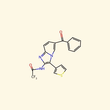 O=C(c1ccccc1)c1ccc2nc(NC(=O)C(F)(F)F)c(-c3ccsc3)n2c1